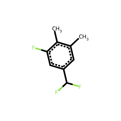 Cc1cc(C(F)F)cc(F)c1C